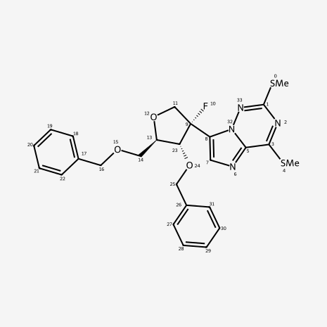 CSc1nc(SC)c2ncc([C@]3(F)CO[C@H](COCc4ccccc4)[C@H]3OCc3ccccc3)n2n1